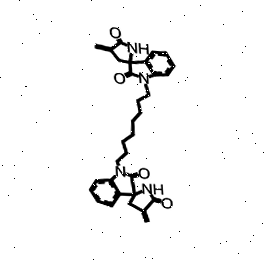 C=C1CC2(NC1=O)C(=O)N(CCCCCCCCN1C(=O)C3(CC(=C)C(=O)N3)c3ccccc31)c1ccccc12